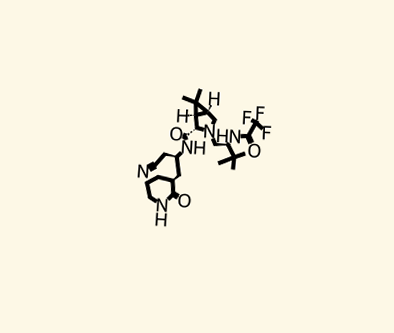 CC(C)(C)[C@@H](CN1C[C@H]2[C@@H]([C@H]1C(=O)N[C@H](CC#N)C[C@@H]1CCCNC1=O)C2(C)C)NC(=O)C(F)(F)F